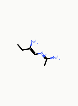 CCC(N)=C/N=C(\C)N